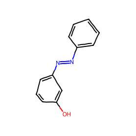 Oc1cccc(N=Nc2ccccc2)c1